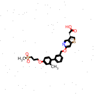 Cc1cc(OCCCS(C)(=O)=O)ccc1-c1cccc(COc2cc3c(cn2)[C@H](CC(=O)O)CS3)c1